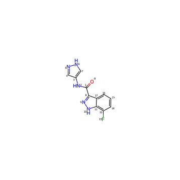 O=C(Nc1cn[nH]c1)c1n[nH]c2c(F)cccc12